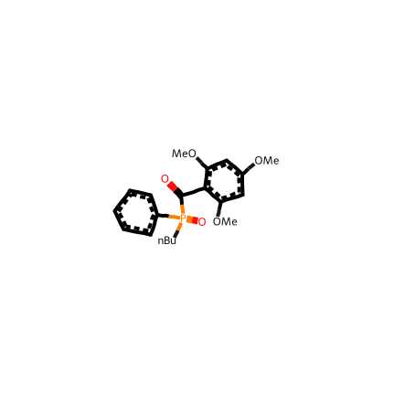 CCCCP(=O)(C(=O)c1c(OC)cc(OC)cc1OC)c1ccccc1